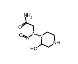 NC(=O)CN(N=O)N1CCNCC1O